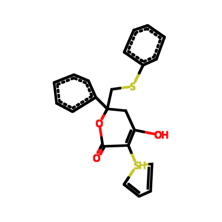 O=C1OC(CSc2ccccc2)(c2ccccc2)CC(O)=C1[SH]1C=CC=C1